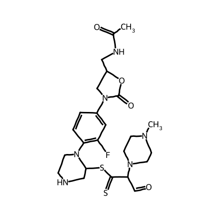 CC(=O)NCC1CN(c2ccc(N3CCNCC3SC(=S)C(C=O)N3CCN(C)CC3)c(F)c2)C(=O)O1